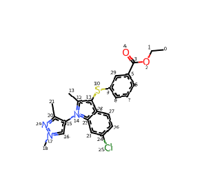 CCOC(=O)c1cccc(Sc2c(C)n(-c3cn(C)nc3C)c3cc(Cl)ccc23)c1